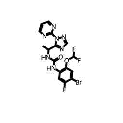 CC(NC(=O)Nc1cc(F)c(Br)cc1OC(F)F)c1ncnn1-c1ncccn1